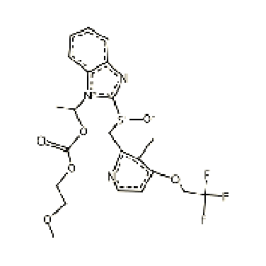 COCCOC(=O)OC(C)n1c([S+]([O-])Cc2nccc(OCC(F)(F)F)c2C)nc2ccccc21